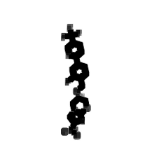 O=[N+]([O-])c1cn2c(n1)OC[C@@H](OCc1ccc(-c3ccc(C(F)(F)F)cn3)cc1F)C2